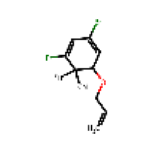 [2H]C1(C#N)C(F)=CC(Br)=CC1OCC=C